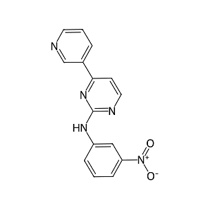 O=[N+]([O-])c1cccc(Nc2nccc(-c3cccnc3)n2)c1